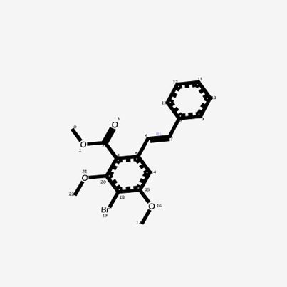 COC(=O)c1c(/C=C/c2ccccc2)cc(OC)c(Br)c1OC